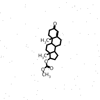 COC(=O)OC1CCC2C3CCC4=CC(=O)CCC4(C)C3CCC12C